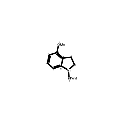 CCCCCN1CCc2c(OC)cccc21